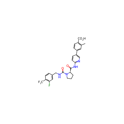 Cc1cc(-c2ccc(NC(=O)[C@H]3CCCN3C(=O)NCc3ccc(C(F)(F)F)c(F)c3)nc2)ccc1C(=O)O